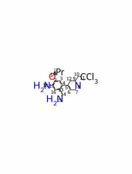 CC(C)Oc1cc(C2=CCN=C(CC(Cl)(Cl)Cl)C2)c(CN)cc1N